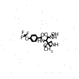 COC1(C(NC(=O)c2ccc(OC(F)(F)F)cc2)C(=O)NO)CNC1